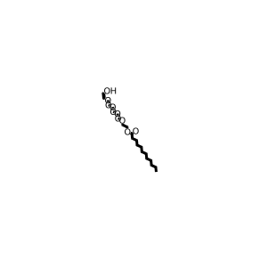 CCCCCCCCCCCC(=O)OCCOOOOOOO/C=C\O